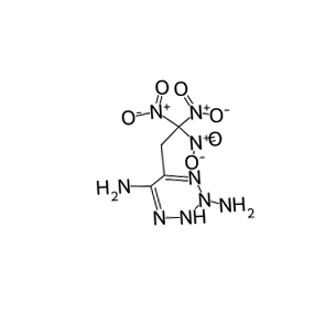 NC1=NNN(N)N=C1CC([N+](=O)[O-])([N+](=O)[O-])[N+](=O)[O-]